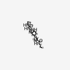 C=CCNC(=O)c1cn(-c2ccc3[nH]c(NC(=O)NCC)nc3c2)cn1